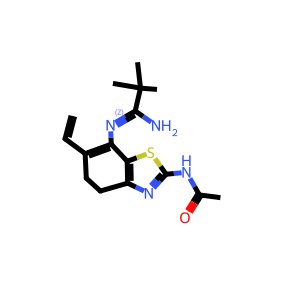 C=CC1=C(/N=C(\N)C(C)(C)C)c2sc(NC(C)=O)nc2CC1